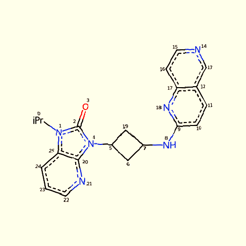 CC(C)n1c(=O)n(C2CC(Nc3ccc4cnccc4n3)C2)c2ncccc21